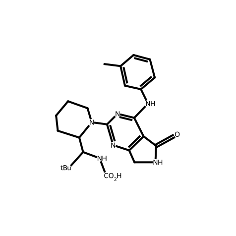 Cc1cccc(Nc2nc(N3CCCCC3C(NC(=O)O)C(C)(C)C)nc3c2C(=O)NC3)c1